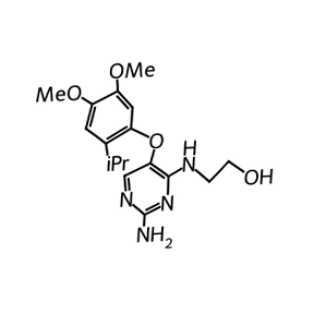 COc1cc(Oc2cnc(N)nc2NCCO)c(C(C)C)cc1OC